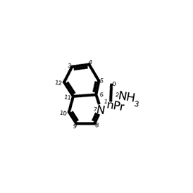 CCCC.N.c1ccc2ncccc2c1